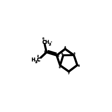 [CH2]C(C)=C1CC2CCC1C2